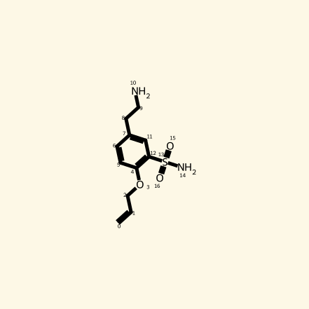 C=CCOc1ccc(CCN)cc1S(N)(=O)=O